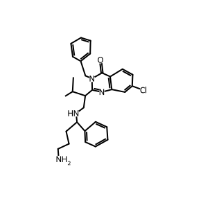 CC(C)C(CNC(CCCN)c1ccccc1)c1nc2cc(Cl)ccc2c(=O)n1Cc1ccccc1